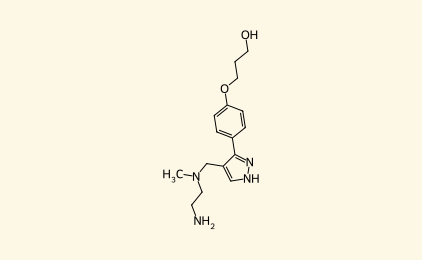 CN(CCN)Cc1c[nH]nc1-c1ccc(OCCCO)cc1